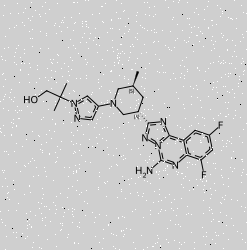 C[C@H]1C[C@H](c2nc3c4cc(F)cc(F)c4nc(N)n3n2)CN(c2cnn(C(C)(C)CO)c2)C1